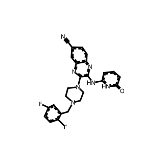 N#Cc1ccc2nc(Nc3cccc(=O)[nH]3)c(N3CCN(Cc4cc(F)ccc4F)CC3)nc2c1